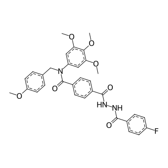 COc1ccc(CN(C(=O)c2ccc(C(=O)NNC(=O)c3ccc(F)cc3)cc2)c2cc(OC)c(OC)c(OC)c2)cc1